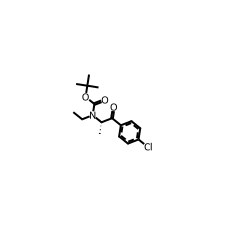 CCN(C(=O)OC(C)(C)C)[C@@H](C)C(=O)c1ccc(Cl)cc1